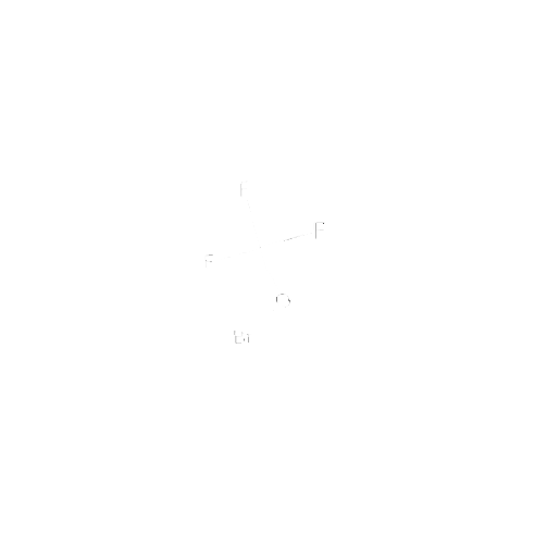 FC(F)(F)OBr